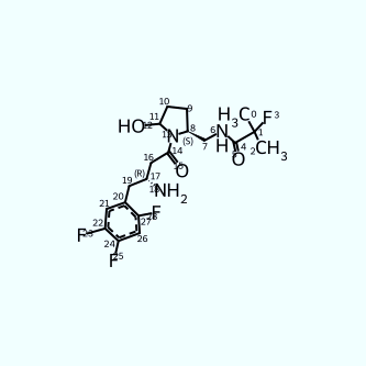 CC(C)(F)C(=O)NC[C@@H]1CCC(O)N1C(=O)C[C@H](N)Cc1cc(F)c(F)cc1F